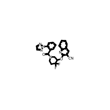 N#Cc1cc2ccccc2nc1OC1CN(C(=O)c2ccccc2-n2nccn2)CCC1(F)F